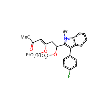 CCOC(=O)OC(=CC(=O)OC)CC(OC(=O)OCC)c1c(-c2ccc(F)cc2)c2ccccc2n1C(C)C